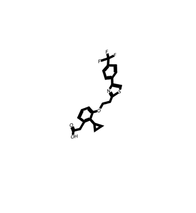 O=C(O)Cc1cccc(OCCc2nc(-c3ccc(C(F)(F)F)cc3)cs2)c1C1CC1